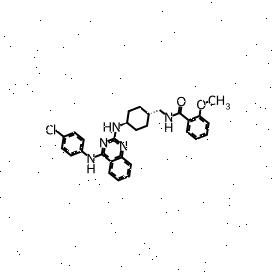 COc1ccccc1C(=O)NC[C@H]1CC[C@H](Nc2nc(Nc3ccc(Cl)cc3)c3ccccc3n2)CC1